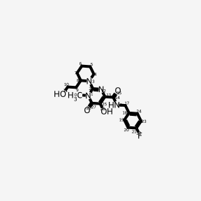 Cn1c(N2CCCCC2CCO)nc(C(=O)NCc2ccc(F)cc2)c(O)c1=O